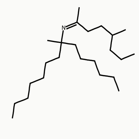 CCCCCCCC(C)(CCCCCC)/N=C(/C)CCC(C)CCC